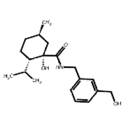 CC(C)[C@@H]1CC[C@@H](C)C[C@@]1(O)C(=O)NCc1cccc(CO)c1